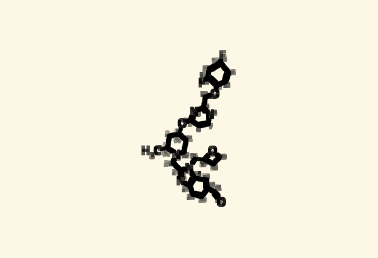 C[C@H]1C[C@@H](Oc2ccnc(COc3ccc(F)cc3F)n2)CCN1Cc1nc2ccc(C=O)cc2n1C[C@@H]1CCO1